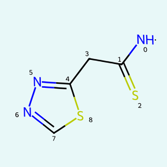 [NH]C(=S)Cc1nncs1